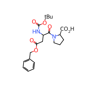 CC(C)(C)OC(=O)NC(CC(=O)OCc1ccccc1)C(=O)N1CCCC1C(=O)O